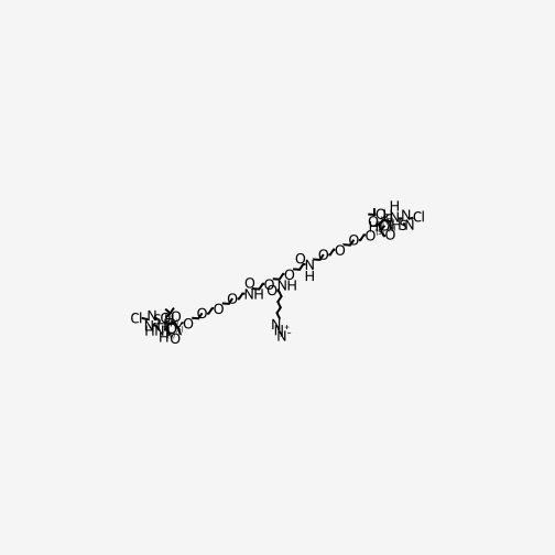 CC1(C)O[C@@H]2[C@@H](Nc3nc(Cl)ns3)[C@H]3OC[C@](COCCOCCOCCOCCNC(=O)CCOCC(COCCC(=O)NCCOCCOCCOCCOC[C@@]45CO[C@@H](O4)[C@H](Nc4nc(Cl)ns4)[C@H]4OC(C)(C)O[C@H]45)NC(=O)CCCCCN=[N+]=[N-])(O3)[C@@H]2O1